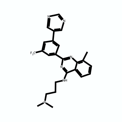 Cc1cccc2c(NCCCN(C)C)nc(-c3cc(-c4cncnc4)cc(C(F)(F)F)c3)nc12